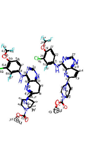 CC(C)(C)OC(=O)N1CC2CCC1CN2c1ccc2ncnc(Nc3ccc(OC(F)F)c(Cl)c3F)c2n1.CC(C)(C)OC(=O)N1CC2CC[C@@H]1CN2c1ccc2ncnc(Nc3ccc(OC(F)F)c(Cl)c3F)c2n1